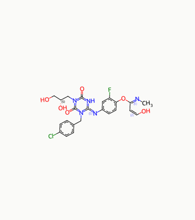 C/N=C(\C=C/O)Oc1ccc(/N=c2\[nH]c(=O)n(C[C@H](O)CO)c(=O)n2Cc2ccc(Cl)cc2)cc1F